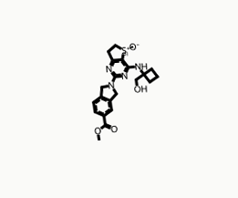 COC(=O)c1ccc2c(c1)CN(c1nc3c(c(NC4(CO)CCC4)n1)[S@+]([O-])CC3)C2